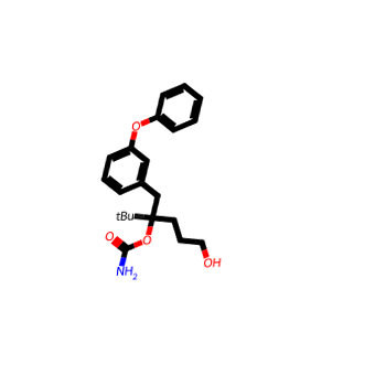 CC(C)(C)C(CCCO)(Cc1cccc(Oc2ccccc2)c1)OC(N)=O